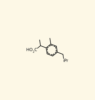 Cc1cc(CC(C)C)ccc1C(C)C(=O)O